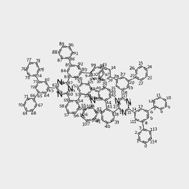 c1ccc(-c2cc(-c3ccccc3)cc(-c3nc(-c4cc(-c5ccccc5)cc(-c5ccccc5)c4)nc(-c4ccccc4-c4cccc5c6cccc(-c7ccccc7-c7nc(-c8cc(-c9ccccc9)cc(-c9ccccc9)c8)nc(-c8cc(-c9ccccc9)cc(-c9ccccc9)c8)n7)c6n(-c6ccccc6)c45)n3)c2)cc1